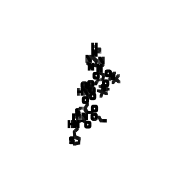 C=CCOC(=O)C1=C(COC(=O)NS(=O)(=O)OC[C@H]2O[C@@H](n3cnc4c(N)ncnc43)C(O[Si](C)(C)C(C)(C)C)C2O[Si](C)(C)C(C)(C)C)CS[C@@H]2[C@H](NCCc3cccs3)C(=O)N12